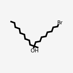 CCCCCCCCCC(C)(O)CCCCCCCCBr